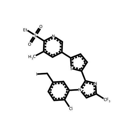 CCS(=O)(=O)c1ncc(-c2ccc(-c3nc(C(F)(F)F)cn3-c3cc(CI)ccc3Cl)s2)cc1C